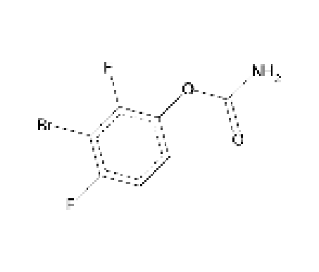 NC(=O)Oc1ccc(F)c(Br)c1F